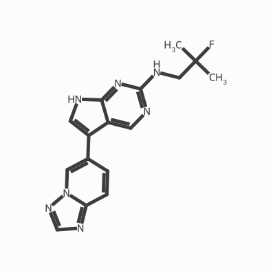 CC(C)(F)CNc1ncc2c(-c3ccc4ncnn4c3)c[nH]c2n1